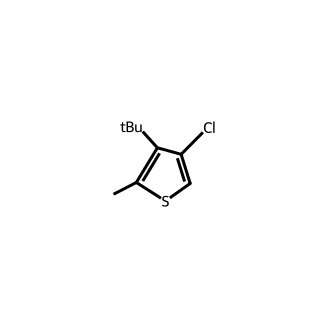 Cc1scc(Cl)c1C(C)(C)C